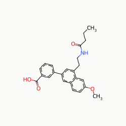 CCCC(=O)NCCc1cc(-c2cccc(C(=O)O)c2)cc2ccc(OC)cc12